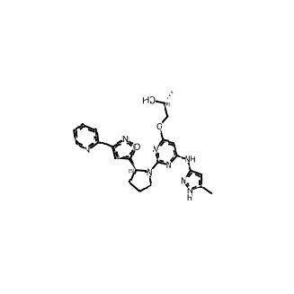 Cc1cc(Nc2cc(OC[C@@H](C)O)nc(N3CCC[C@H]3c3cc(-c4ccccn4)no3)n2)n[nH]1